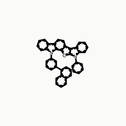 c1ccc(-n2c3ccccc3c3c4ccc5c6ccccc6n(-c6cccc(-c7cccc8ccccc78)c6)c5c4oc32)cc1